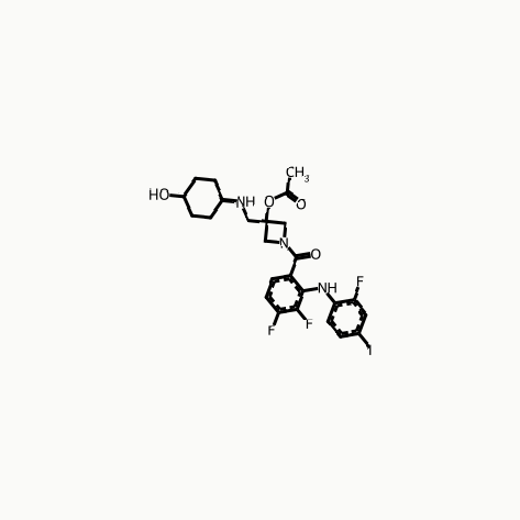 CC(=O)OC1(CNC2CCC(O)CC2)CN(C(=O)c2ccc(F)c(F)c2Nc2ccc(I)cc2F)C1